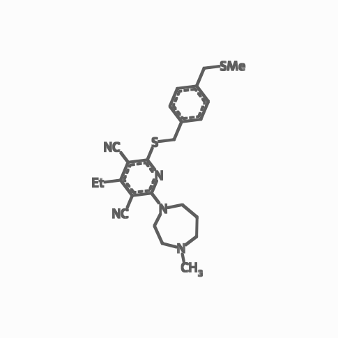 CCc1c(C#N)c(SCc2ccc(CSC)cc2)nc(N2CCCN(C)CC2)c1C#N